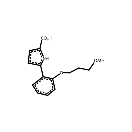 COCCCOc1ccccc1-c1ccc(C(=O)O)[nH]1